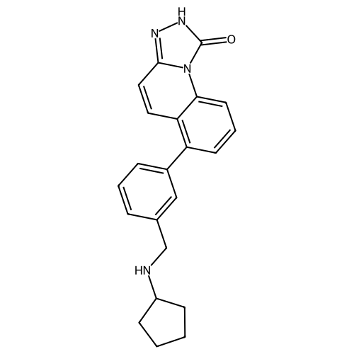 O=c1[nH]nc2ccc3c(-c4cccc(CNC5CCCC5)c4)cccc3n12